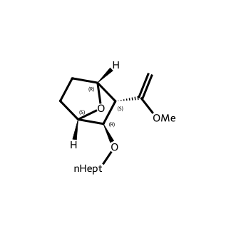 C=C(OC)[C@@H]1[C@@H](OCCCCCCC)[C@@H]2CC[C@H]1O2